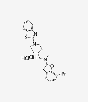 CC(C)c1cccc2c1OC(N(C)CC1CCN(c3nc4ccccc4s3)CC1)C2.Cl.Cl